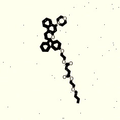 CCCCOCCOC(=O)CCC(=O)OCCOc1ccc(C2(c3ccccc3)C=Cc3c(cc(N4CCOCC4)c4ccccc34)O2)cc1